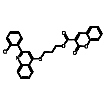 O=C(OCCCSc1cc(-c2ccccc2Cl)nc2ccccc12)c1cc2ccccc2oc1=O